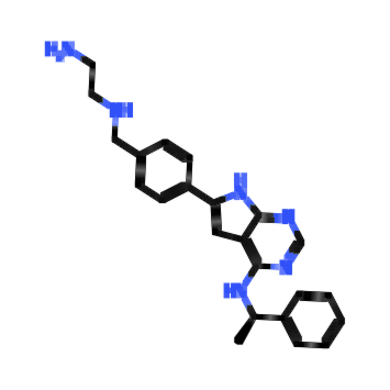 C[C@@H](Nc1ncnc2[nH]c(-c3ccc(CNCCN)cc3)cc12)c1ccccc1